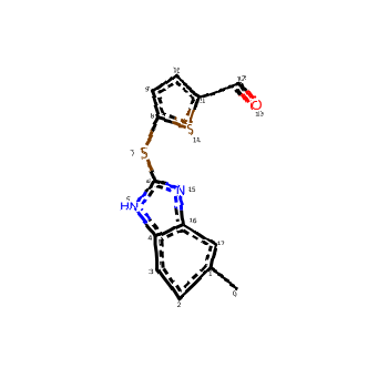 Cc1ccc2[nH]c(Sc3ccc(C=O)s3)nc2c1